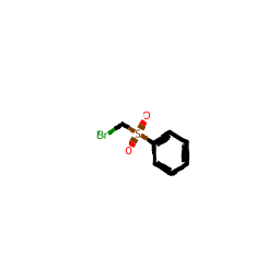 O=S(=O)(CBr)c1ccccc1